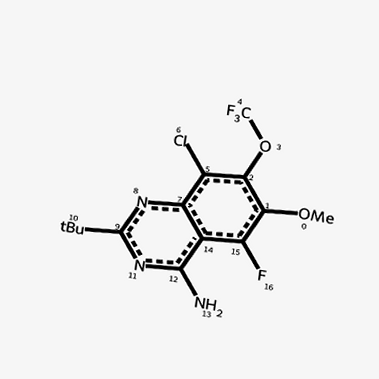 COc1c(OC(F)(F)F)c(Cl)c2nc(C(C)(C)C)nc(N)c2c1F